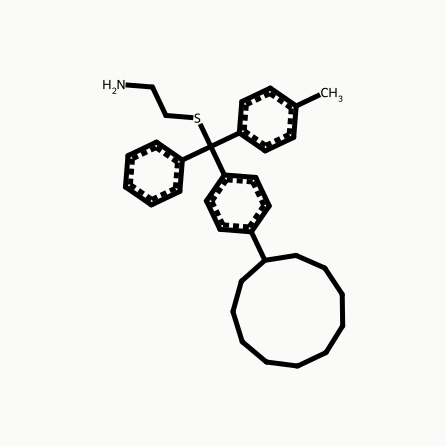 Cc1ccc(C(SCCN)(c2ccccc2)c2ccc(C3CCCCCCCCCC3)cc2)cc1